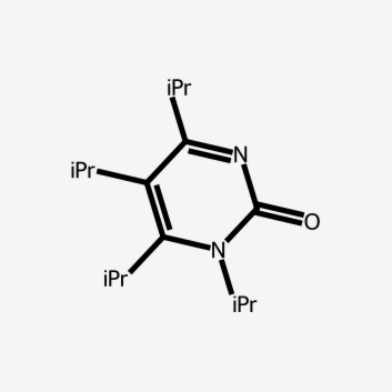 CC(C)c1nc(=O)n(C(C)C)c(C(C)C)c1C(C)C